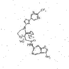 C[C@]1([C@@H](O)C(=O)Nc2ccc3c(N)noc3c2)OCCN(c2ccn(-c3cnc(C(F)(F)F)nc3)n2)C1=O